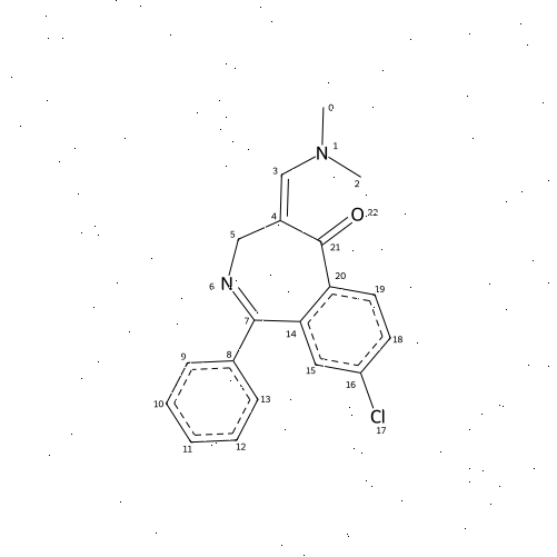 CN(C)C=C1CN=C(c2ccccc2)c2cc(Cl)ccc2C1=O